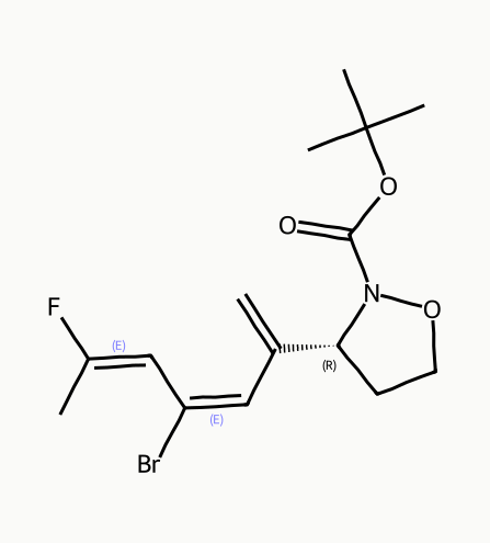 C=C(/C=C(Br)\C=C(/C)F)[C@H]1CCON1C(=O)OC(C)(C)C